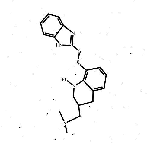 CCN1CC(CN(C)C)Cc2cccc(CSc3nc4ccccc4[nH]3)c21